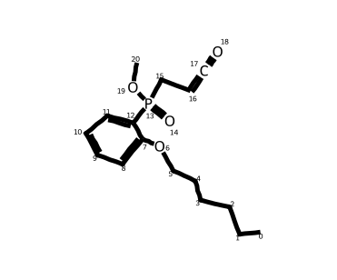 CCCCCCOc1ccccc1P(=O)(CC=C=O)OC